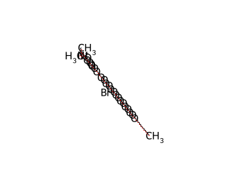 CCCCCCCCCCCCCCCCCCOCCOCCOCCOCCOCCOCCOCCOCCOCCOCCOCCOCCOCCOCCOCCCCCOCCOCCOOCOCCOC(=O)CCN1CC[N+](C)(CCCCCC)CC1.[Br-]